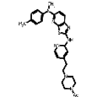 CC(=O)N1CCN(CCC2=CC(Nc3nc4ccc(N(C)c5ccc(C)cc5)nc4s3)NC=C2)CC1